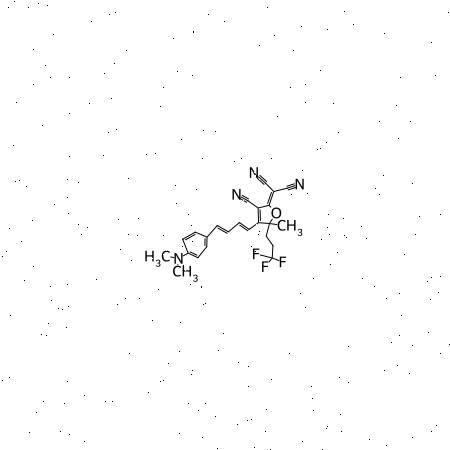 CN(C)c1ccc(/C=C/C=C/C2=C(C#N)C(=C(C#N)C#N)OC2(C)CCC(F)(F)F)cc1